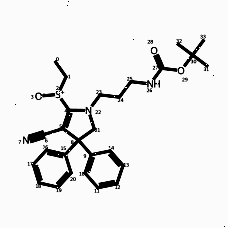 CC[S+]([O-])C1=C(C#N)C(c2ccccc2)(c2ccccc2)CN1CCCNC(=O)OC(C)(C)C